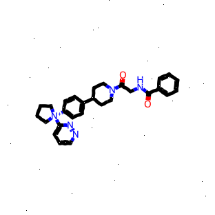 O=C(NCC(=O)N1CCC(c2ccc([N+]3(c4cccnn4)CCCC3)cc2)CC1)c1ccccc1